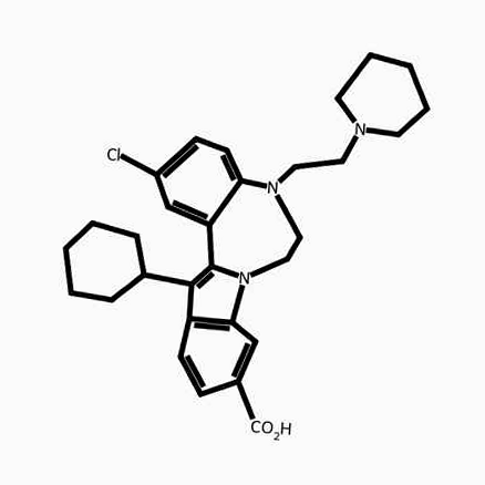 O=C(O)c1ccc2c(C3CCCCC3)c3n(c2c1)CCN(CCN1CCCCC1)c1ccc(Cl)cc1-3